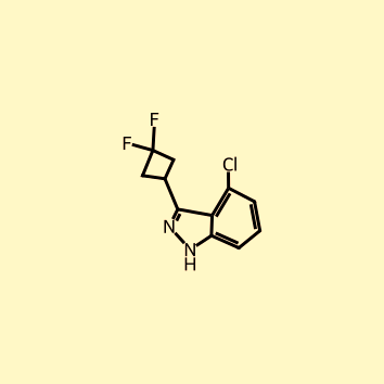 FC1(F)CC(c2n[nH]c3cccc(Cl)c23)C1